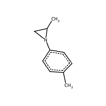 Cc1ccc(N2CC2C)cc1